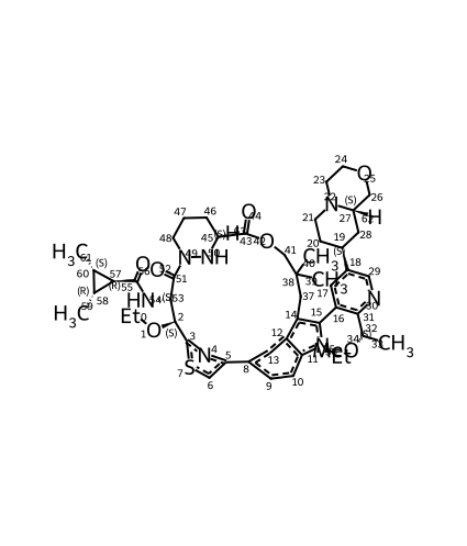 CCO[C@@H]1c2nc(cs2)-c2ccc3c(c2)c(c(-c2cc([C@H]4CCN5CCOC[C@@H]5C4)cnc2[C@H](C)OC)n3CC)CC(C)(C)COC(=O)[C@@H]2CCCN(N2)C(=O)[C@H]1NC(=O)[C@H]1[C@H](C)[C@@H]1C